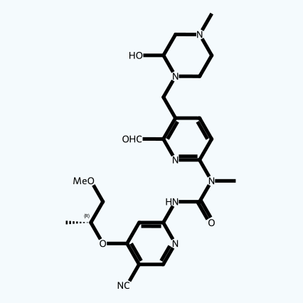 COC[C@@H](C)Oc1cc(NC(=O)N(C)c2ccc(CN3CCN(C)CC3O)c(C=O)n2)ncc1C#N